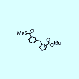 CSC(=O)c1cccc(CC2CCCN2C(=O)OC(C)(C)C)c1